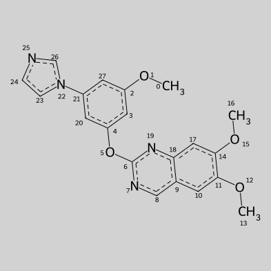 COc1cc(Oc2ncc3cc(OC)c(OC)cc3n2)cc(-n2ccnc2)c1